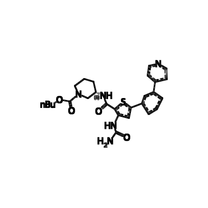 CCCCOC(=O)N1CCC[C@H](NC(=O)c2sc(-c3cccc(-c4ccncc4)c3)cc2NC(N)=O)C1